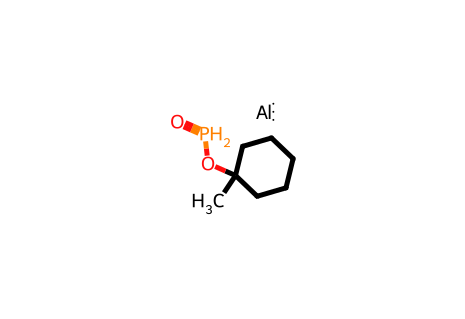 CC1(O[PH2]=O)CCCCC1.[Al]